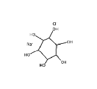 OC1C(O)C(O)C(O)C(O)C1O.[Cl-].[Na+]